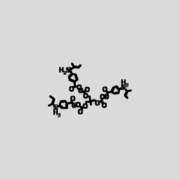 CC=C(C)[SiH2]c1ccc(C(=O)OOC(=O)OCC(C)(COC(=O)OOC(=O)c2ccc([SiH2]C(C)=CC)cc2)COC(=O)OOC(=O)c2ccc([SiH2]C(C)=CC)cc2)cc1